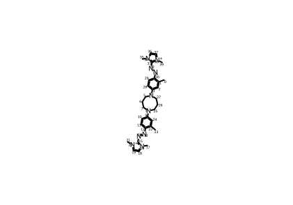 Cc1cc(N2CCCN(c3ccc(N=Nc4n(C)cc[n+]4C)c(C)c3)CCC2)ccc1N=Nc1n(C)cc[n+]1C